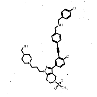 CS(=O)(=O)N1CCc2c(c(-c3ccc(Cl)c(C#Cc4ccc(CNCc5ccc(Cl)cc5)cc4)c3)nn2CCCN2CCC(CO)CC2)C1